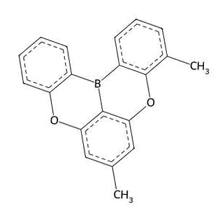 Cc1cc2c3c(c1)Oc1c(C)cccc1B3c1ccccc1O2